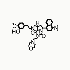 COc1ccc(CCN2C[C@H]3CC(c4ccc(N(C)C)c5ccccc45)N4C(=O)N(CCN5CCOCC5)C(=O)[C@@]34C2)cc1O